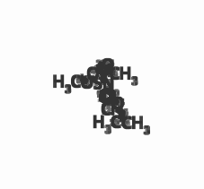 CCOC(=O)S/C(=N\c1ccc(Cl)c(OCC=C(C)C)c1)c1ccoc1C